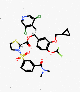 CN(C)C(=O)c1cccc(S(=O)(=O)N2CCS[C@H]2C(=O)O[C@H](Cc2c(Cl)cncc2Cl)c2ccc(OC(F)F)c(OCC3CC3)c2)c1